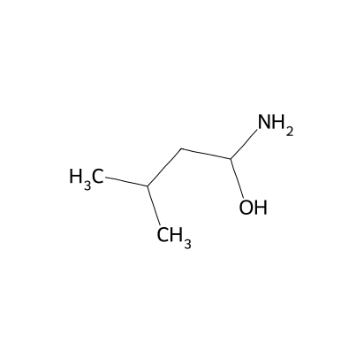 CC(C)CC(N)O